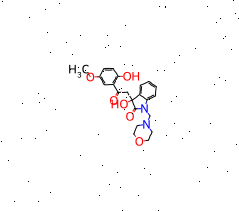 COc1ccc(O)c(C(=O)CC2(O)C(=O)N(CN3CCOCC3)c3ccccc32)c1